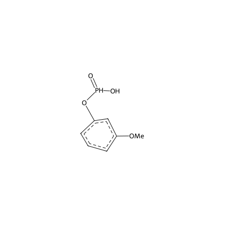 COc1cccc(O[PH](=O)O)c1